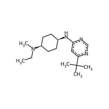 CCN(C)[C@H]1CC[C@@H](Nc2cc(C(C)(C)C)ncn2)CC1